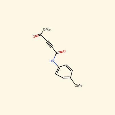 COC(=O)C#CC(=O)Nc1ccc(OC)cc1